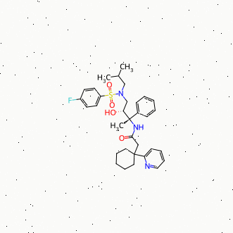 CC(C)CN(C[C@@H](O)[C@@](C)(NC(=O)CC1(c2ccccn2)CCCCC1)c1ccccc1)S(=O)(=O)c1ccc(F)cc1